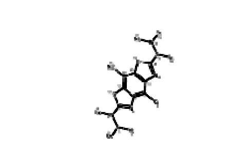 CCN(CC)N(C(C)=O)c1nc2c(Cl)c3nc(N(C(C)=O)N(CC)CC)sc3c(C#N)c2s1